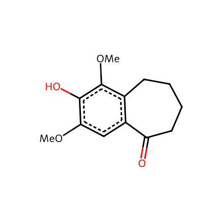 COc1cc2c(c(OC)c1O)CCCCC2=O